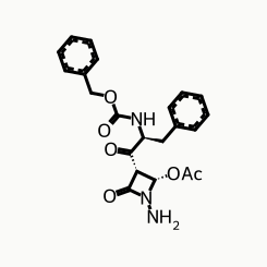 CC(=O)O[C@H]1[C@@H](C(=O)[C@H](Cc2ccccc2)NC(=O)OCc2ccccc2)C(=O)N1N